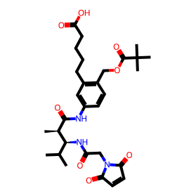 CC(C)[C@H](NC(=O)CN1C(=O)C=CC1=O)[C@@H](C)C(=O)Nc1ccc(COC(=O)C(C)(C)C)c(CCCCC(=O)O)c1